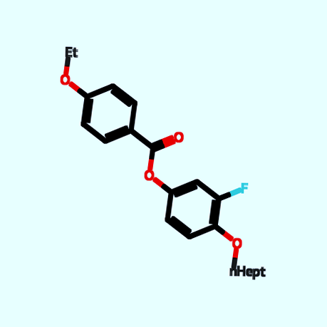 CCCCCCCOc1ccc(OC(=O)c2ccc(OCC)cc2)cc1F